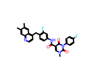 Cc1cc2nccc(Cc3ccc(NC(=O)c4cn(C)c(=O)n(-c5ccc(F)cc5)c4=O)cc3F)c2cc1C